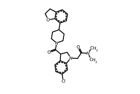 CN(C)C(=O)CN1CC(C(=O)N2CCC(c3cccc4c3OCC4)CC2)c2ccc(Cl)cc21